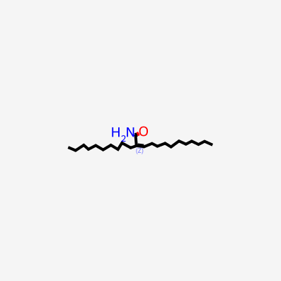 CCCCCCCCCC/C=C(/CCCCCCCCCC)C(N)=O